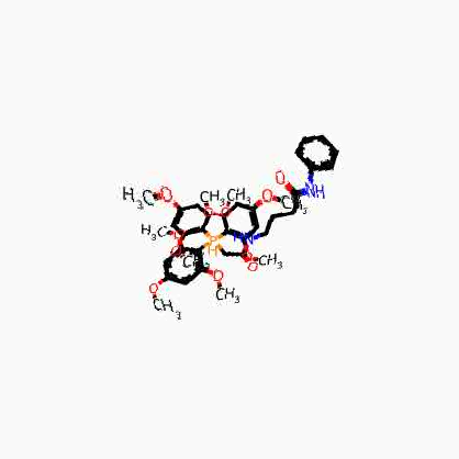 COC1=CC(OC)=C([PH](CC(=O)NCCCC(=O)Nc2ccccc2)(C2=C(OC)C=C(OC)C[C@@H]2OC)c2c(OC)cc(OC)cc2OC)[C@@H](OC)C1